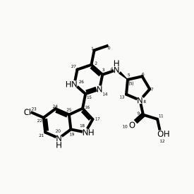 CCC1=C(N[C@H]2CCN(C(=O)CO)C2)N=C(C2=CNC3NC=C(Cl)C=C23)NC1